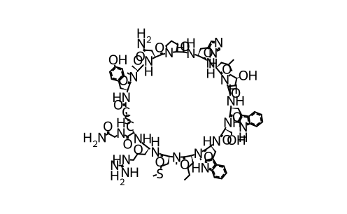 CCCC[C@H]1C(=O)N(C)[C@@H](CCSC)C(=O)N[C@@H](CCCNC(=N)N)C(=O)NC(C(=O)NCC(N)=O)CSCC(=O)N[C@@H](Cc2ccc(O)cc2)C(=O)N(C)[C@@H](C)C(=O)N[C@@H](CC(N)=O)C(=O)N2CCC[C@H]2C(=O)N[C@@H](Cc2cnc[nH]2)C(=O)N[C@@H](CC(C)C)C(=O)N2C[C@H](O)C[C@H]2C(=O)N[C@@H](Cc2c[nH]c3ccccc23)C(=O)N[C@@H](CO)C(=O)N[C@@H](Cc2c[nH]c3ccccc23)C(=O)N1C